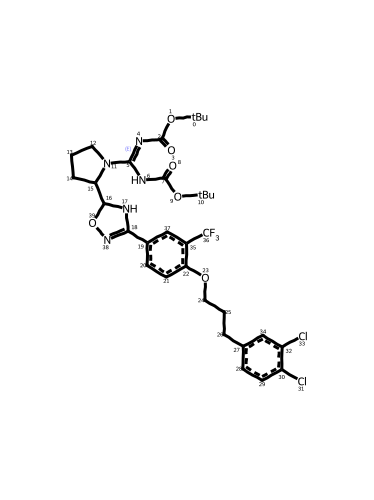 CC(C)(C)OC(=O)/N=C(\NC(=O)OC(C)(C)C)N1CCCC1C1NC(c2ccc(OCCCc3ccc(Cl)c(Cl)c3)c(C(F)(F)F)c2)=NO1